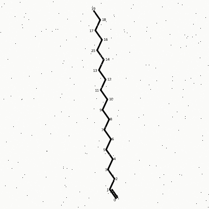 [CH]=CCCCCCCCCCCCCCCCCCC